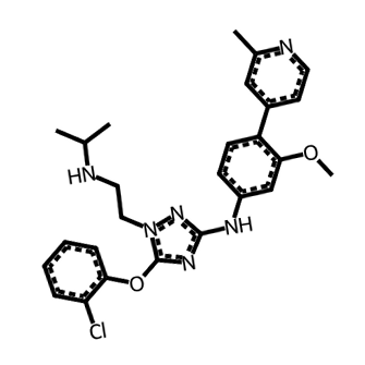 COc1cc(Nc2nc(Oc3ccccc3Cl)n(CCNC(C)C)n2)ccc1-c1ccnc(C)c1